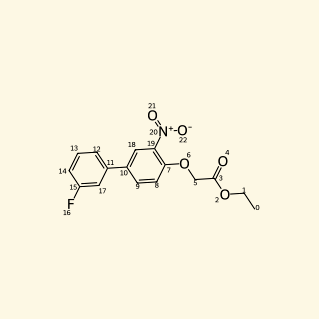 CCOC(=O)COc1ccc(-c2cccc(F)c2)cc1[N+](=O)[O-]